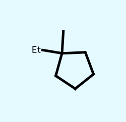 CCC1(C)C[CH]CC1